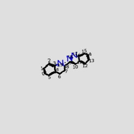 c1ccc2c(c1)CCC(c1cc3ccccc3nn1)[N]2